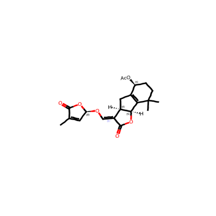 CC(=O)O[C@H]1CCC(C)(C)C2=C1C[C@@H]1/C(=C\O[C@H]3C=C(C)C(=O)O3)C(=O)O[C@H]21